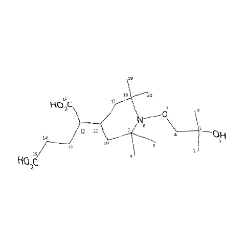 CC(C)(O)CON1C(C)(C)CC(C(CCC(=O)O)C(=O)O)CC1(C)C